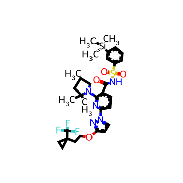 C[C@@H]1CN(c2nc(-n3ccc(OCCC4(C(F)(F)F)CC4)n3)ccc2C(=O)NS(=O)(=O)c2cccc([Si](C)(C)C)c2)C(C)(C)C1